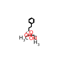 CCC(O)(CC)O[C@H](CO)CCc1ccccc1